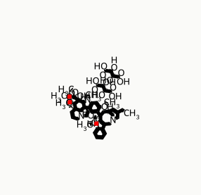 CCC1=C[C@@H]2CN(C1)Cc1c([nH]c3ccccc13)[C@@](C(=O)OC)(c1cc3c(cc1OC)N(C)[C@H]1[C@@](O)(C(=O)OC)[C@H](OC(C)=O)[C@]4(CC)C=CCN5CC[C@]31[C@@H]54)C2.O=C(O)[C@H](O)[C@@H](O)C(=O)O.O=C(O)[C@H](O)[C@@H](O)C(=O)O